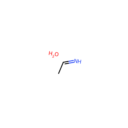 CC=N.O